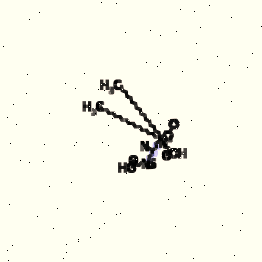 CCCCCCCCCCCCCCCCCCC1(CCCCCCCCCCCCCCCCCC)C(/C=C/C(C#N)=C/C=C2\SCCN2CCC(=O)O)=[N+](CCC(=O)O)c2ccc(-c3ccccc3)cc21